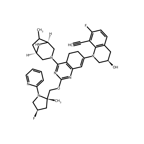 C#Cc1c(F)ccc2c1N(C1=Cc3nc(OC[C@]4(C)C[C@@H](F)CN4c4ccccn4)nc(N4C[C@H]5CC(C)[C@@H](C4)N5)c3CC1)C[C@H](O)C2